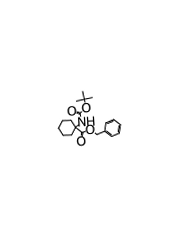 CC(C)(C)OC(=O)NC1(C(=O)OCc2ccccc2)CCCCC1